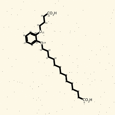 O=C(O)CCCCCCCCCCCCCOc1ccccc1OCCCC(=O)O